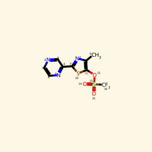 Cc1nc(-c2cnccn2)sc1OS(=O)(=O)C(F)(F)F